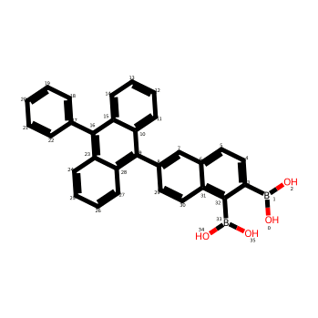 OB(O)c1ccc2cc(-c3c4ccccc4c(-c4ccccc4)c4ccccc34)ccc2c1B(O)O